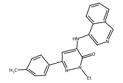 CCn1nc(-c2ccc(C)cc2)cc(Nc2cncc3ccccc23)c1=O